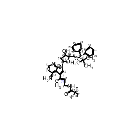 C/C(=C\CNC(=O)C(F)(F)F)c1cn([C@H]2CC(O)[C@@H](CO[Si](c3ccccc3)(c3ccccc3)C(C)(C)C)O2)c2ncnc(N)c12